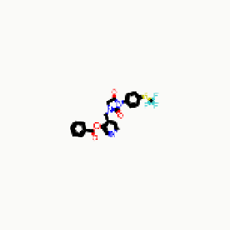 O=C(Oc1cnccc1CN1CC(=O)N(c2ccc(SC(F)(F)F)cc2)C1=O)c1ccccc1